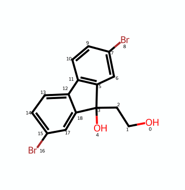 OCCC1(O)c2cc(Br)ccc2-c2ccc(Br)cc21